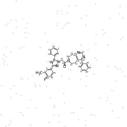 Cc1cc(-c2nc(-c3ccccc3)n(CC(=O)N3CCc4ncnc(-c5ccccc5)c4CC3)n2)ccc1F